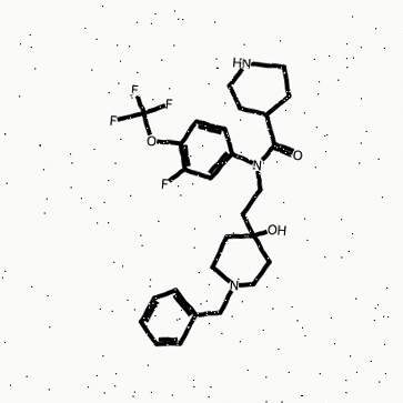 O=C(C1CCNCC1)N(CCC1(O)CCN(Cc2ccccc2)CC1)c1ccc(OC(F)(F)F)c(F)c1